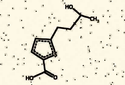 CC(O)CCc1ccc(C(=O)O)s1